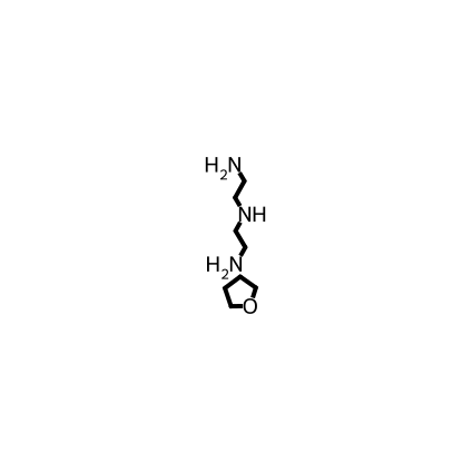 C1CCOC1.NCCNCCN